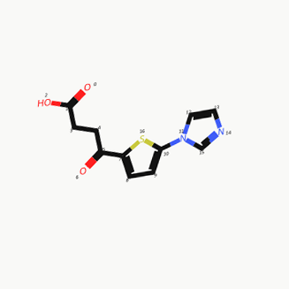 O=C(O)CCC(=O)c1ccc(-n2ccnc2)s1